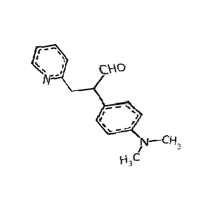 CN(C)c1ccc(C(C=O)Cc2ccccn2)cc1